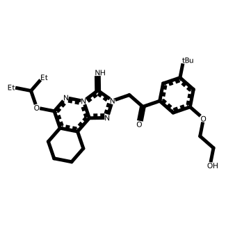 CCC(CC)Oc1nn2c(=N)n(CC(=O)c3cc(OCCO)cc(C(C)(C)C)c3)nc2c2c1CCCC2